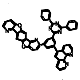 c1ccc(-c2nc(-c3ccccc3)nc(-c3cc(-c4ccc5oc6cc7c(cc6c5n4)oc4cccnc47)cc(-c4cc5cccnc5c5ncccc45)c3)n2)cc1